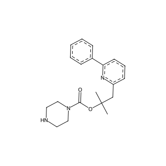 CC(C)(Cc1cccc(-c2ccccc2)n1)OC(=O)N1CCNCC1